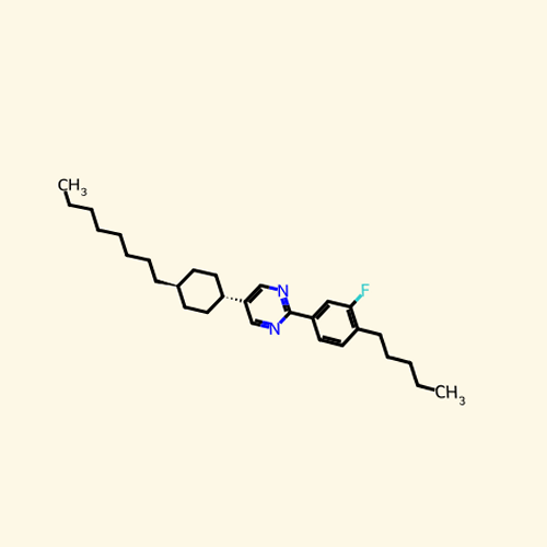 CCCCCCCC[C@H]1CC[C@H](c2cnc(-c3ccc(CCCCC)c(F)c3)nc2)CC1